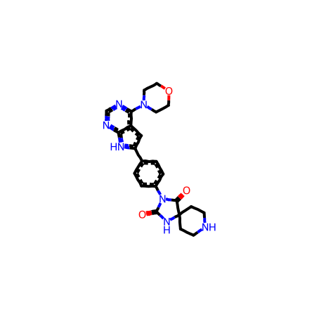 O=C1NC2(CCNCC2)C(=O)N1c1ccc(-c2cc3c(N4CCOCC4)ncnc3[nH]2)cc1